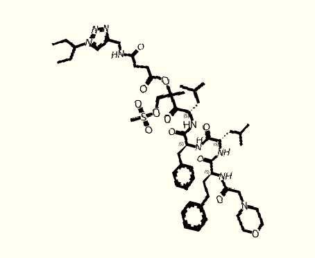 CCC(CC)n1cc(CNC(=O)CCC(=O)OC(C)(COS(C)(=O)=O)C(=O)[C@H](CC(C)C)NC(=O)[C@H](Cc2ccccc2)NC(=O)[C@H](CC(C)C)NC(=O)[C@H](CCc2ccccc2)NC(=O)CN2CCOCC2)nn1